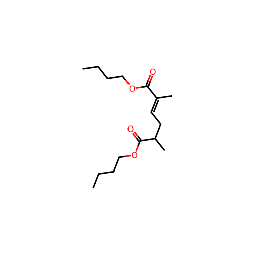 CCCCOC(=O)C(C)=CCC(C)C(=O)OCCCC